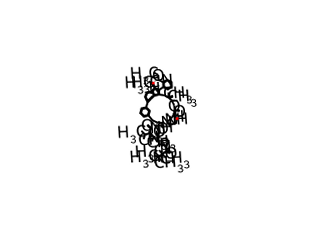 CCn1c(-c2cccnc2[C@H](C)OC)c2c3cc(ccc31)-c1cccc(c1)C[C@H](NC(=O)C(C(C)C)N(C)C(=O)[C@H]1CCN(C(=O)C(C)(C)N(C)C)C1)C(=O)N1CCC[C@H](N1)C(=O)OCC(C)(C)C2